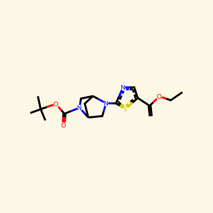 C=C(OCC)c1cnc(N2CC3CC2CN3C(=O)OC(C)(C)C)s1